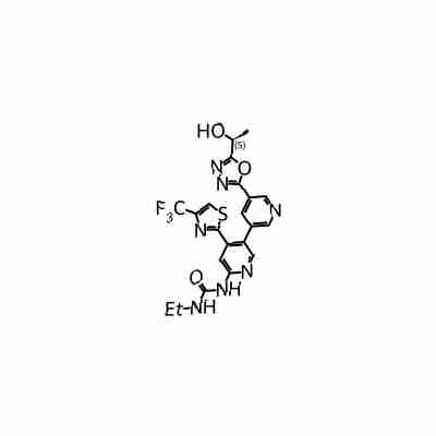 CCNC(=O)Nc1cc(-c2nc(C(F)(F)F)cs2)c(-c2cncc(-c3nnc([C@H](C)O)o3)c2)cn1